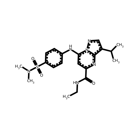 CCNC(=O)c1cc(Nc2ccc(S(=O)(=O)N(C)C)cc2)n2ncc(C(C)C)c2n1